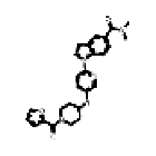 CN(C)C(=O)c1ccc2c(ccn2-c2ccc(NC3CCN(C(=O)c4ccco4)CC3)cn2)c1